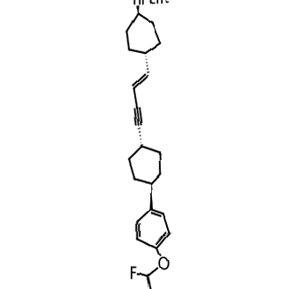 CCCCC[C@H]1CC[C@H](/C=C/C#C[C@H]2CC[C@H](c3ccc(OC(F)F)cc3)CC2)CC1